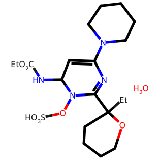 CCOC(=O)NC1C=C(N2CCCCC2)N=C(C2(CC)CCCCO2)N1OS(=O)(=O)O.O